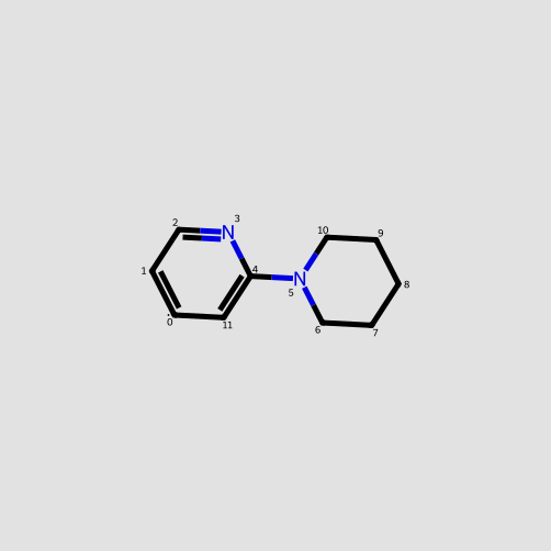 [c]1ccnc(N2CCCCC2)c1